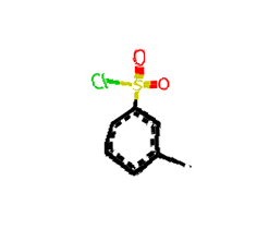 [CH2]c1cccc(S(=O)(=O)Cl)c1